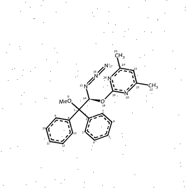 COC(c1ccccc1)(c1ccccc1)[C@@H](N=[N+]=[N-])Oc1nc(C)cc(C)n1